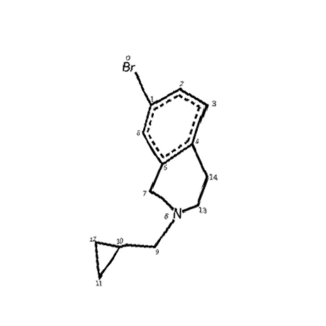 Brc1ccc2c(c1)CN(CC1CC1)CC2